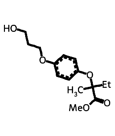 CCC(C)(Oc1ccc(OCCCO)cc1)C(=O)OC